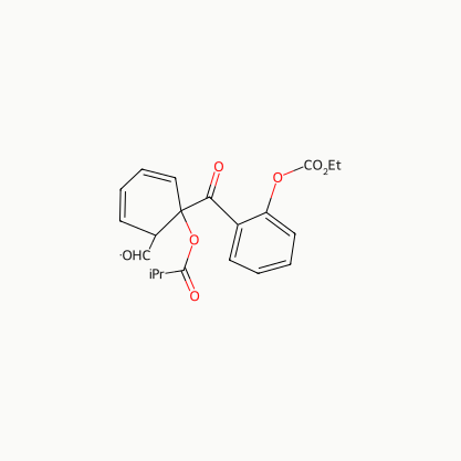 CCOC(=O)Oc1ccccc1C(=O)C1(OC(=O)C(C)C)C=CC=CC1[C]=O